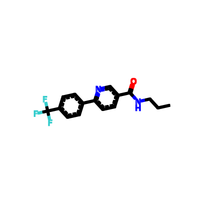 CCCNC(=O)c1ccc(-c2ccc(C(F)(F)F)cc2)nc1